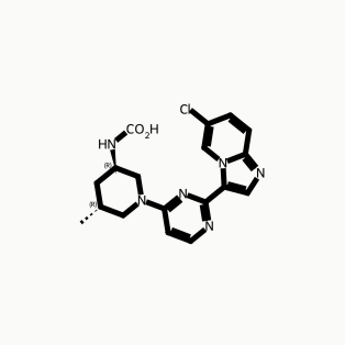 C[C@@H]1C[C@@H](NC(=O)O)CN(c2ccnc(-c3cnc4ccc(Cl)cn34)n2)C1